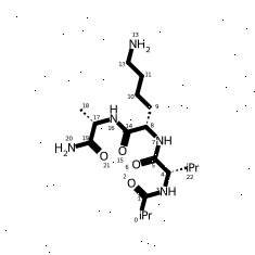 CC(C)C(=O)N[C@H](C(=O)N[C@@H](CCCCN)C(=O)N[C@@H](C)C(N)=O)C(C)C